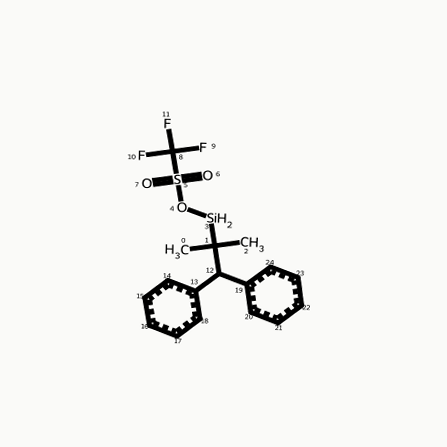 CC(C)([SiH2]OS(=O)(=O)C(F)(F)F)C(c1ccccc1)c1ccccc1